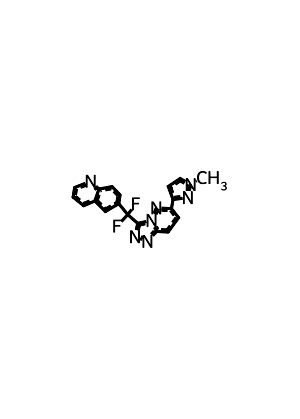 Cn1ccc(-c2ccc3nnc(C(F)(F)c4ccc5ncccc5c4)n3n2)n1